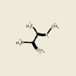 BC(=C)/C(C)=N/C